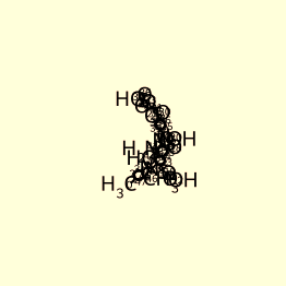 Cc1ccc(N=Nc2c(SOOO)cc3cc(S(=O)(=O)O)c(N=Nc4ccc(S(=O)(=O)CCOS(=O)(=O)O)cc4)c(N)c3c2O)c(C)c1